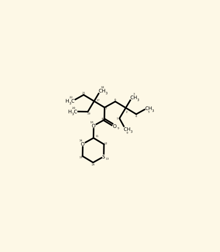 CCC(C)(CC)CC(C(=O)OC1CSCCO1)C(C)(CC)CC